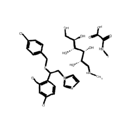 CNC[C@H](O)[C@@H](O)[C@H](O)[C@H](O)CO.Clc1ccc(CSC(Cn2ccnc2)c2ccc(Cl)cc2Cl)cc1.O=C(O)C(=O)NI